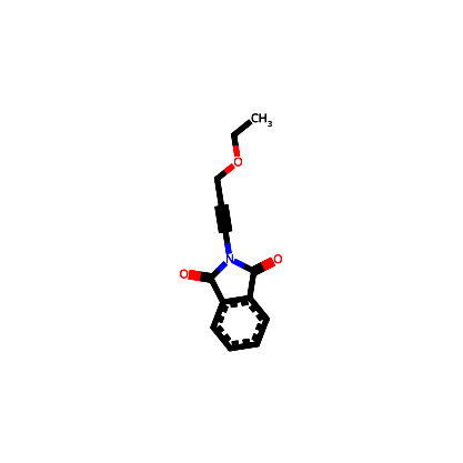 CCOCC#CN1C(=O)c2ccccc2C1=O